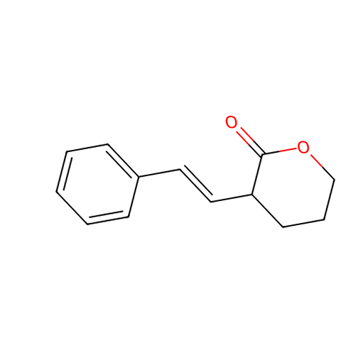 O=C1OCCCC1C=Cc1ccccc1